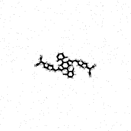 Cc1cccc(C)c1-c1c2cc(/C=c3\cc4sc(=C(C#N)C#N)cc4s3)sc2c(-c2c(C)cccc2C)c2cc(/C=c3\cc4sc(=C(C#N)C#N)cc4s3)sc12